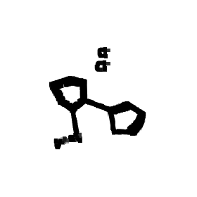 [Cl-].[Cl-].[V+2]=[N]c1ccccc1C1=CC=CC1